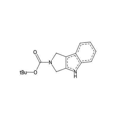 CC(C)(C)OC(=O)N1Cc2[nH]c3ccccc3c2C1